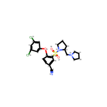 N#Cc1ccc(Oc2cc(Cl)cc(Cl)c2)c(S(=O)(=O)N2CCCC2CN2CCCC2)c1